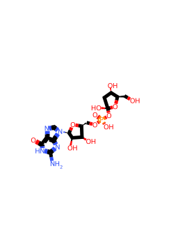 Nc1nc2c(ncn2[C@@H]2O[C@H](COP(=O)(O)O[C@]3(O)C[C@H](O)[C@@H](CO)O3)[C@@H](O)[C@H]2O)c(=O)[nH]1